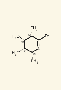 CCC1=N[C@H](C)[C@H](C)[C@H](C)[C@@H]1C